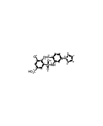 O=C(O)c1cc(Cl)c(O)c(S(=O)(=O)Nc2cc(-n3nccn3)ccc2F)c1